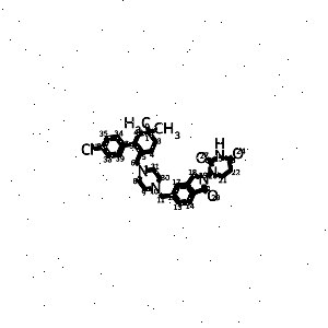 CC1(C)CCC(CN2CCN(Cc3ccc4c(c3)CN(N3CCC(=O)NC3=O)C4=O)CC2)=C(c2ccc(Cl)cc2)C1